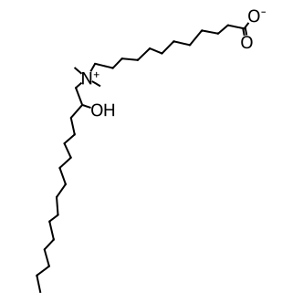 CCCCCCCCCCCCCCC(O)C[N+](C)(C)CCCCCCCCCCCC(=O)[O-]